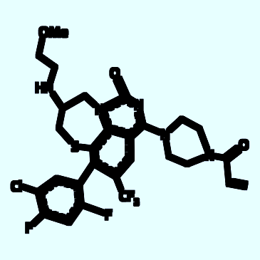 C=CC(=O)N1CCN(c2nc(=O)n3c4c(c(-c5cc(Cl)c(F)cc5F)c(C(F)(F)F)cc24)SCC(NCCOC)C3)CC1